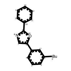 CCC(C)c1cccc(-c2cnc(-c3ccccc3)o2)c1